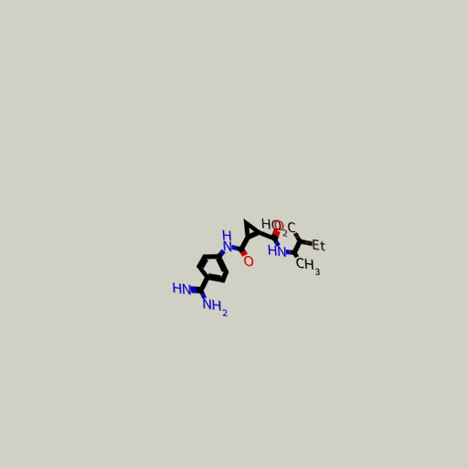 CCC(C(=O)O)C(C)NC(=O)C1CC1C(=O)Nc1ccc(C(=N)N)cc1